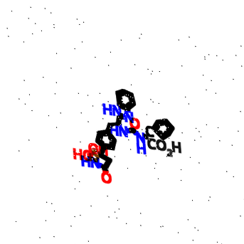 O=C1CC(c2ccc(C[C@H](NC(=O)N[C@@H](Cc3ccccc3)C(=O)O)c3nc4ccccc4[nH]3)cc2)S(O)(O)N1